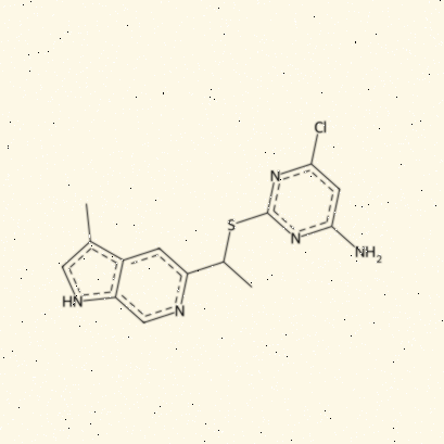 Cc1c[nH]c2cnc(C(C)Sc3nc(N)cc(Cl)n3)cc12